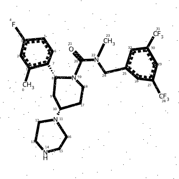 Cc1cc(F)ccc1[C@H]1C[C@@H](N2CCNCC2)CCN1C(=O)N(C)Cc1cc(C(F)(F)F)cc(C(F)(F)F)c1